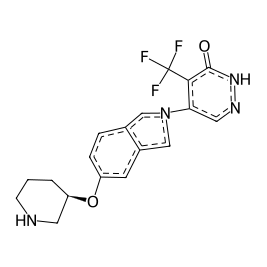 O=c1[nH]ncc(-n2cc3ccc(O[C@@H]4CCCNC4)cc3c2)c1C(F)(F)F